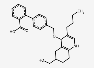 CCCCC1=CNC2=C(CC(CO)CC2)C1OCc1ccc(-c2ccccc2C(=O)O)cc1